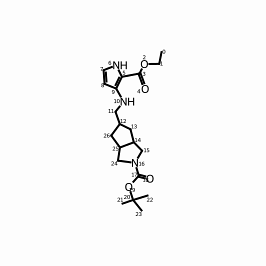 CCOC(=O)c1[nH]ccc1NCC1CC2CN(C(=O)OC(C)(C)C)CC2C1